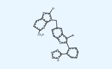 CCc1nc2ccc(C(=O)O)nc2n1Cc1ccc2oc(-c3ccccc3-c3nnn[nH]3)c(Br)c2c1